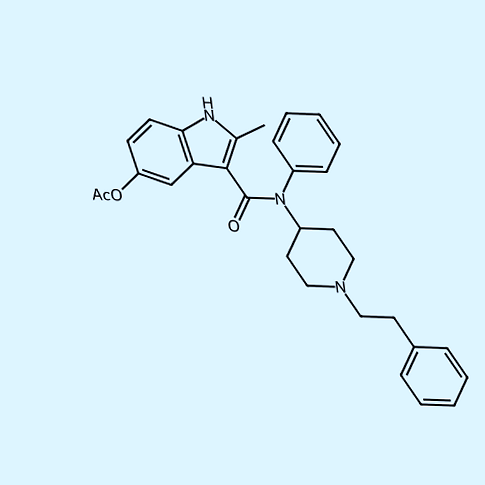 CC(=O)Oc1ccc2[nH]c(C)c(C(=O)N(c3ccccc3)C3CCN(CCc4ccccc4)CC3)c2c1